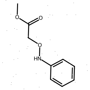 COC(=O)CONc1ccccc1